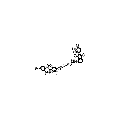 COc1cc2c(N[C@H](C)c3cccc(Br)c3)nc(C)nc2cc1OCCOCCOCCNc1cccc2c1C(=O)N(C1CCC(=O)NC1=O)C2=O